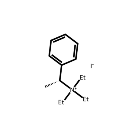 CC[N+](CC)(CC)[C@H](C)c1ccccc1.[I-]